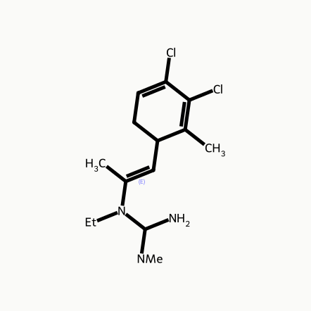 CCN(/C(C)=C/C1CC=C(Cl)C(Cl)=C1C)C(N)NC